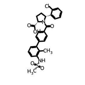 Cc1c(NS(C)(=O)=O)cccc1-c1ccc(C(=O)N2[C@@H](c3ccccc3Cl)CC[C@H]2C(=O)O)cc1